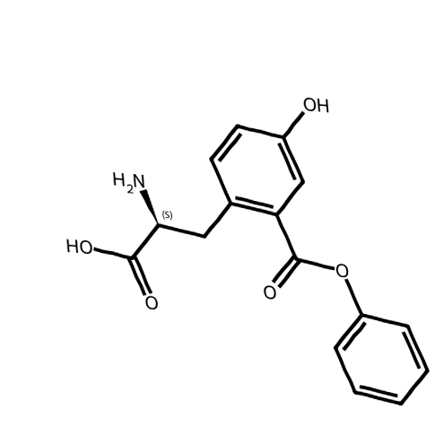 N[C@@H](Cc1ccc(O)cc1C(=O)Oc1ccccc1)C(=O)O